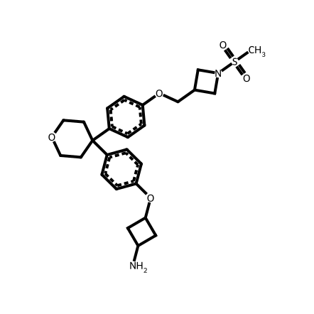 CS(=O)(=O)N1CC(COc2ccc(C3(c4ccc(OC5CC(N)C5)cc4)CCOCC3)cc2)C1